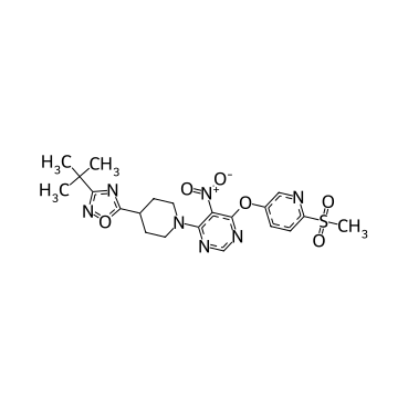 CC(C)(C)c1noc(C2CCN(c3ncnc(Oc4ccc(S(C)(=O)=O)nc4)c3[N+](=O)[O-])CC2)n1